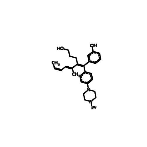 C\C=C/C=C(C)/C(CCCO)=C(\c1ccc(N2CCN(C(C)C)CC2)cc1)c1cccc(O)c1